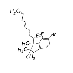 C=CC/C=C/CCC(CC)C1(O)c2c(ccc(Br)c2F)CC1(C)C